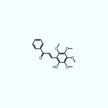 COc1c(O)c(C=CC(=O)c2ccccc2)c(OC)c(OC)c1OC